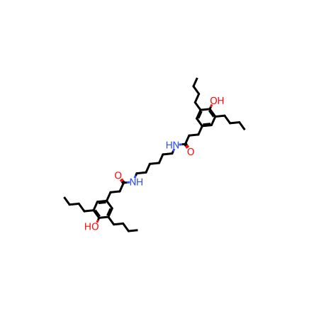 CCCCc1cc(CCC(=O)NCCCCCCNC(=O)CCc2cc(CCCC)c(O)c(CCCC)c2)cc(CCCC)c1O